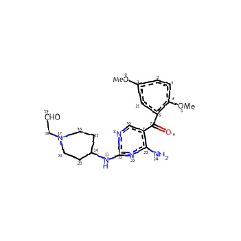 COc1ccc(OC)c(C(=O)c2cnc(NC3CCN(CC=O)CC3)nc2N)c1